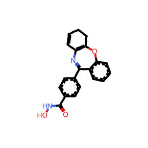 O=C(NO)c1ccc(C2=NC3=C(CCC=C3)Oc3ccccc32)cc1